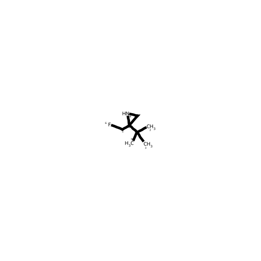 CC(C)(C)C1(CF)CN1